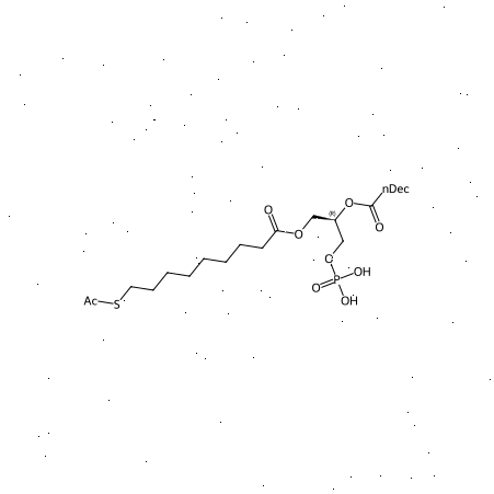 CCCCCCCCCCC(=O)O[C@H](COC(=O)CCCCCCCCSC(C)=O)COP(=O)(O)O